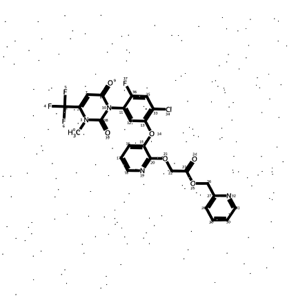 Cn1c(C(F)(F)F)cc(=O)n(-c2cc(Oc3cccnc3OCC(=O)OCc3ccccn3)c(Cl)cc2F)c1=O